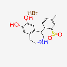 Br.CC1=CC(=S(=O)=O)C(C2CNCCc3cc(O)c(O)cc32)C=C1